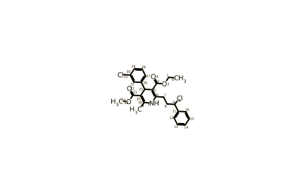 CCOC(=O)C1=C(CCC(Cl)c2ccccc2)NC(C)=C(C(=O)OC)C1c1cccc(Cl)c1